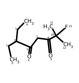 CCC(CC)C(=O)CC(=O)C(C)(C)F